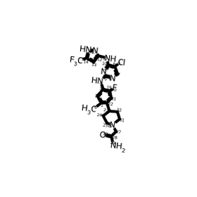 Cc1cc(Nc2ncc(Cl)c(Nc3cc(C(F)(F)F)[nH]n3)n2)c(F)cc1C1CCN(CC(N)=O)CC1